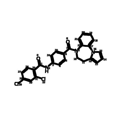 O=C(Nc1ccc(C(=O)N2CCc3cccn3-c3ccccc32)cc1)c1ccc(Cl)cc1Cl